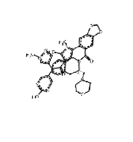 Cc1c(C(=O)N(c2cnc(O)nc2)c2cnn(C)c2)cc(-c2cc3c(cc2C(=O)N2Cc4ccccc4C[C@H]2CN2CCOCC2)OCO3)n1C